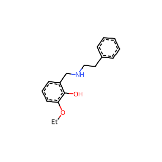 CCOc1cccc(CNCCc2ccccc2)c1O